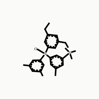 CCc1cc(CC)cc([Si](Cl)(c2cc(C)cc(C)c2)c2cc(C)cc([Si](C)(C)C)c2)c1